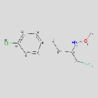 CONC(CF)CCc1ccc(Cl)cc1